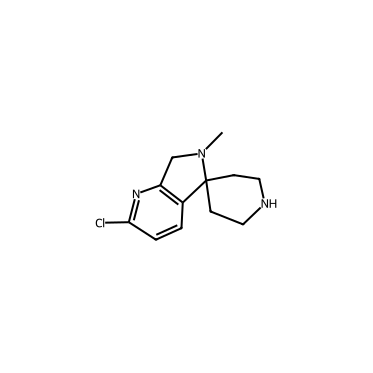 CN1Cc2nc(Cl)ccc2C12CCNCC2